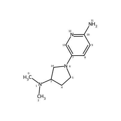 CN(C)C1CCN(c2ccc(N)nc2)C1